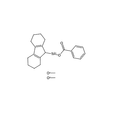 C[O-].C[O-].O=C([O][Ti+2][CH]1C2=C(CCCC2)C2=C1CCCC2)c1ccccc1